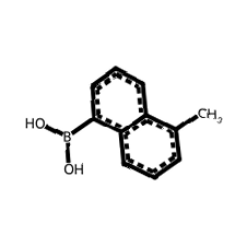 Cc1cccc2c(B(O)O)cccc12